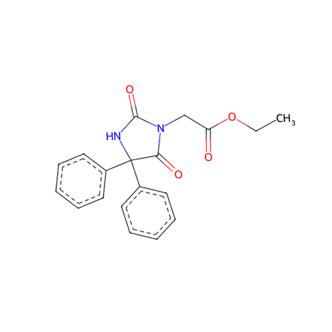 CCOC(=O)CN1C(=O)NC(c2ccccc2)(c2ccccc2)C1=O